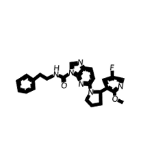 COc1ncc(F)cc1C1CCCN1c1ccc2ncn(C(=O)NCCc3ccccc3)c2n1